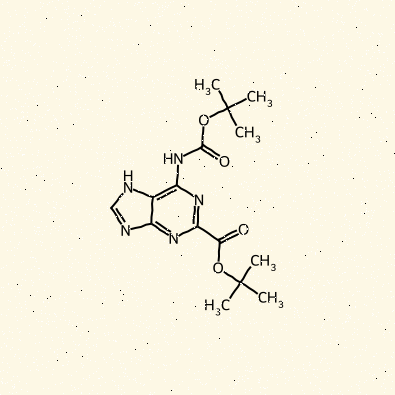 CC(C)(C)OC(=O)Nc1nc(C(=O)OC(C)(C)C)nc2nc[nH]c12